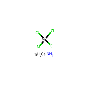 N.[CaH2].[Cl][Pb]([Cl])([Cl])[Cl].[Ti]